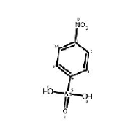 O=[N+]([O-])c1ccc([As](=O)(O)O)cc1